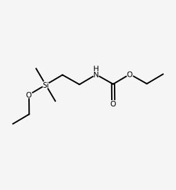 CCOC(=O)NCC[Si](C)(C)OCC